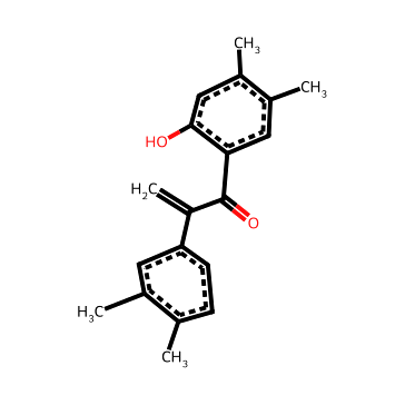 C=C(C(=O)c1cc(C)c(C)cc1O)c1ccc(C)c(C)c1